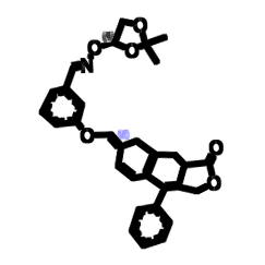 CC1(C)OC[C@H](ON=Cc2cccc(O/C=C3\C=CC4=C(C3)CC3C(=O)OCC3=C4c3ccccc3)c2)O1